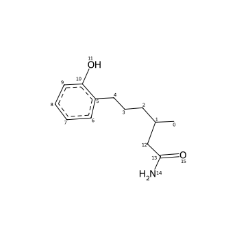 CC(CCCc1ccccc1O)CC(N)=O